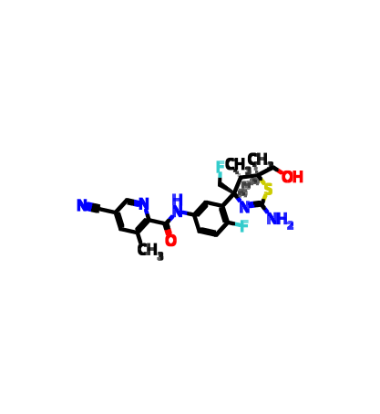 Cc1cc(C#N)cnc1C(=O)Nc1ccc(F)c([C@@]2(CF)N=C(N)S[C@](C)(CO)[C@H]2C)c1